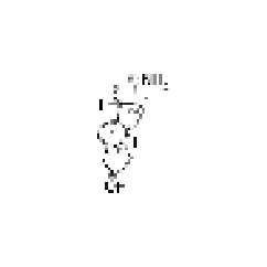 C[C@]12CC[C@H]3C(=CC=C4C[C@@H](O)C=C[C@@]43C)[C@@H]1C=C[C@@H]2N